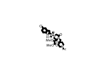 COC(=O)C(OC)C12CN(S(=O)(=O)c3cc4cc(Cl)ccc4[nH]3)CC(=O)N1CC1(CCN(C(C)=O)CC1)O2